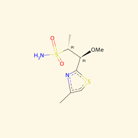 CO[C@@H](c1nc(C)cs1)[C@@H](C)S(N)(=O)=O